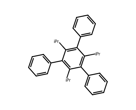 CC(C)c1c(-c2ccccc2)c(C(C)C)c(-c2ccccc2)c(C(C)C)c1-c1ccccc1